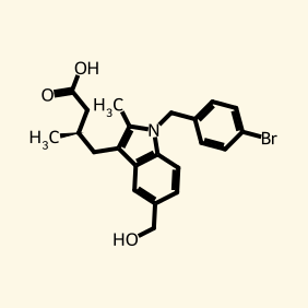 Cc1c(C[C@@H](C)CC(=O)O)c2cc(CO)ccc2n1Cc1ccc(Br)cc1